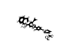 COC(=O)[C@H]1CCN(c2ccc(-c3nc4cc(C(=O)N5CCc6ccccc6[C@H]5C)cc(C5CC5)n4n3)c(F)c2)C1